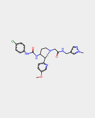 COc1ccc(C2CN(CC(=O)NCc3cnn(C)c3)CCC2NC(=O)Nc2ccc(Cl)cc2)nc1